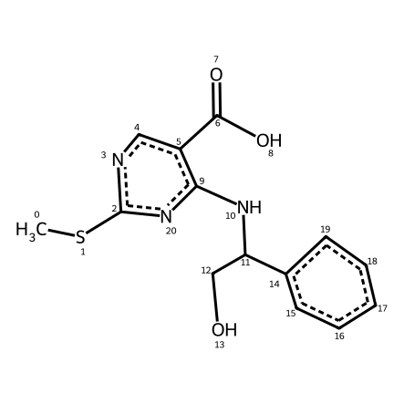 CSc1ncc(C(=O)O)c(NC(CO)c2ccccc2)n1